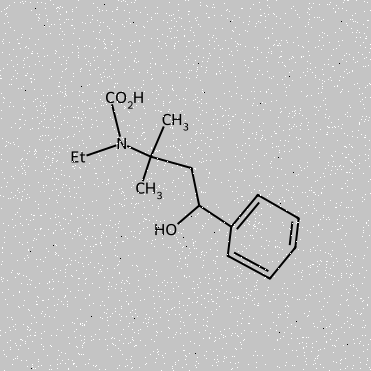 CCN(C(=O)O)C(C)(C)CC(O)c1ccccc1